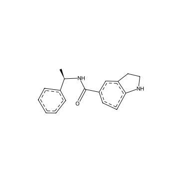 C[C@@H](NC(=O)c1ccc2c(c1)CCN2)c1ccccc1